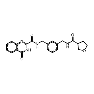 O=C(NCc1cccc(CNC(=O)C2CCOC2)c1)c1nc2ccccc2c(=O)[nH]1